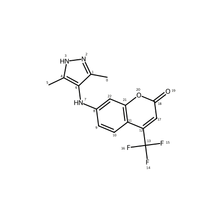 Cc1n[nH]c(C)c1Nc1ccc2c(C(F)(F)F)cc(=O)oc2c1